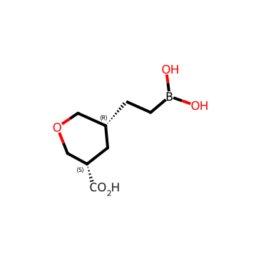 O=C(O)[C@@H]1COC[C@H](CCB(O)O)C1